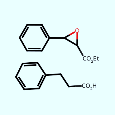 CCOC(=O)C1OC1c1ccccc1.O=C(O)CCc1ccccc1